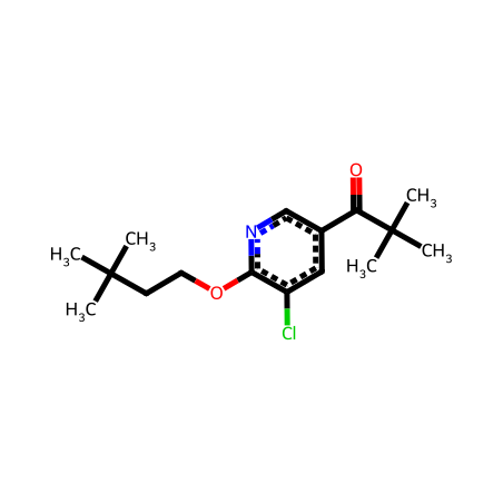 CC(C)(C)CCOc1ncc(C(=O)C(C)(C)C)cc1Cl